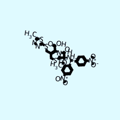 CO[C@@]1(N[PH2](c2ccc([N+](=O)[O-])cc2)c2ccc([N+](=O)[O-])cc2)C(=O)N2C(C(=O)O)=C(CSc3nnc(C)s3)CS[C@H]21